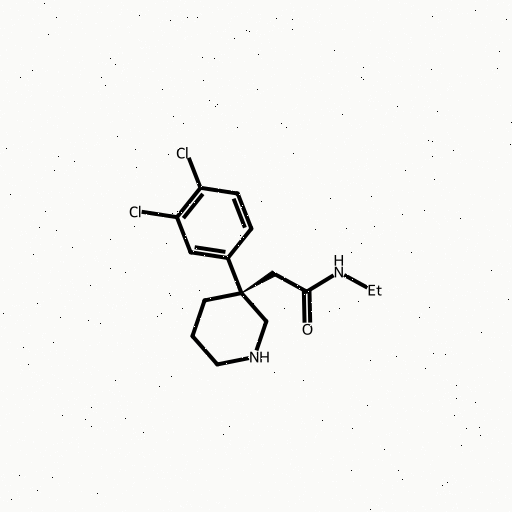 CCNC(=O)C[C@]1(c2ccc(Cl)c(Cl)c2)CCCNC1